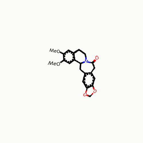 COc1cc2c(cc1OC)C1Cc3cc4c(cc3CC(=O)N1CC2)OCO4